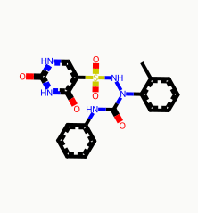 Cc1ccccc1N(NS(=O)(=O)c1c[nH]c(=O)[nH]c1=O)C(=O)Nc1ccccc1